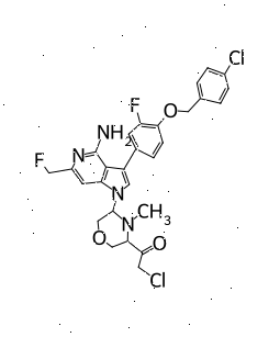 CN1C(C(=O)CCl)COCC1n1cc(-c2ccc(OCc3ccc(Cl)cc3)c(F)c2)c2c(N)nc(CF)cc21